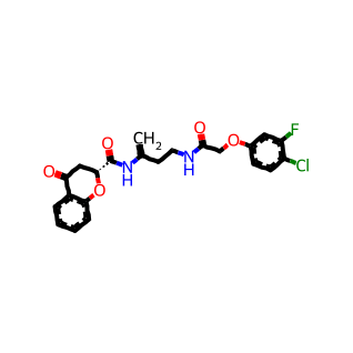 C=C(CCNC(=O)COc1ccc(Cl)c(F)c1)NC(=O)[C@H]1CC(=O)c2ccccc2O1